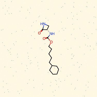 O=C(N[C@H]1CNC1=O)OCCCCCC1CCCCC1